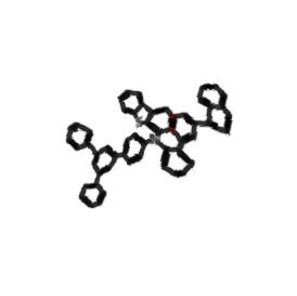 c1ccc(-c2cc(-c3ccccc3)cc(-c3ccc(N(c4ccccc4-c4cccc(-c5cccc6ccccc56)c4)c4cccc5c4sc4ccccc45)cc3)c2)cc1